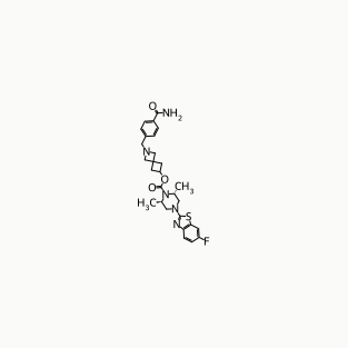 C[C@@H]1CN(c2nc3ccc(F)cc3s2)C[C@@H](C)N1C(=O)OC1CC2(C1)CN(Cc1ccc(C(N)=O)cc1)C2